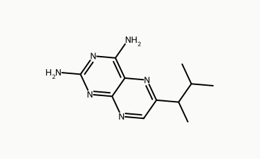 CC(C)C(C)c1cnc2nc(N)nc(N)c2n1